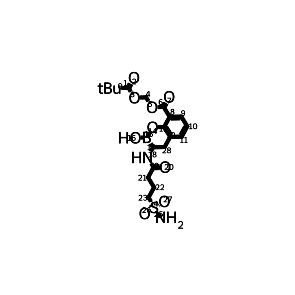 CC(C)(C)C(=O)OCOC(=O)c1cccc2c1OB(O)C(NC(=O)CCCS(N)(=O)=O)C2